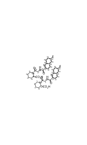 O=C(NCC(=O)N1CCCCC1C(=O)O)c1ccc2cc(F)ccc2n1.O=C(NCC(=O)N1CCCC[C@H]1C(=O)O)c1ccc2cc(F)ccc2n1